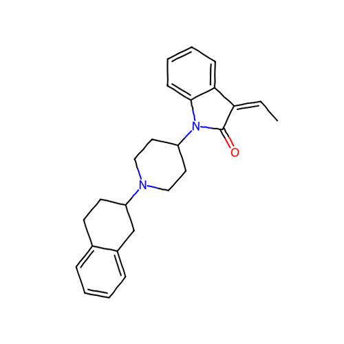 CC=C1C(=O)N(C2CCN(C3CCc4ccccc4C3)CC2)c2ccccc21